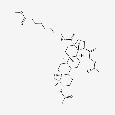 C=C(COC(C)=O)[C@@H]1CC[C@]2(C(=O)NCCCCCCCC(=O)OC)CC[C@]3(C)[C@H](CCC4[C@@]5(C)CC[C@H](OC(C)=O)C(C)(C)[C@@H]5CC[C@]43C)[C@@H]12